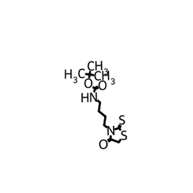 CC(C)(C)OC(=O)NCCCCN1C(=O)CSC1=S